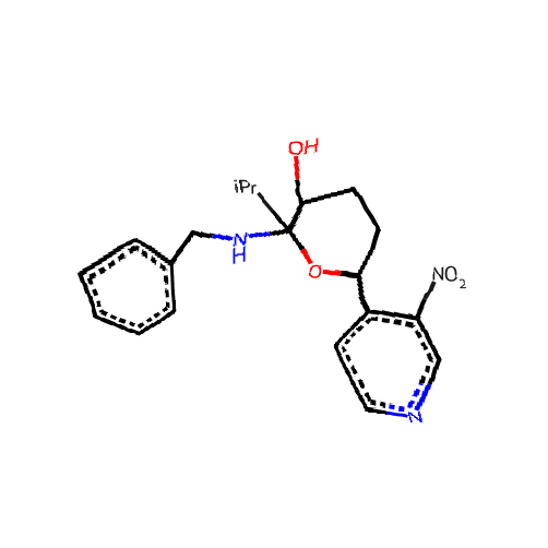 CC(C)C1(NCc2ccccc2)OC(c2ccncc2[N+](=O)[O-])CCC1O